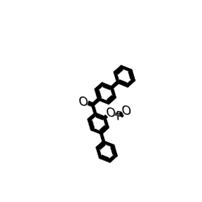 O=POc1cc(-c2ccccc2)ccc1C(=O)c1ccc(-c2ccccc2)cc1